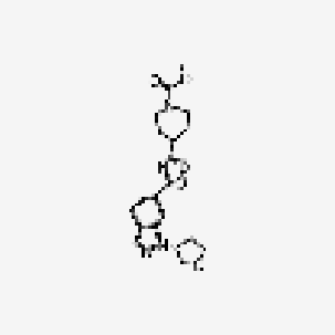 COC(=O)N1CCC(c2noc(-c3ccc4cnn([C@@H]5CCOC5)c4c3)n2)CC1